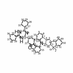 CC1(C)C2=C(C=C3c4ccccc4N(c4cccc5oc6cc(C7=NC(c8ccccc8)NC(c8ccccc8)N7)ccc6c45)C3C2)c2ccccc21